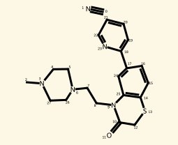 C#N.CN1CCN(CCN2C(=O)CSc3ccc(-c4ccccn4)cc32)CC1